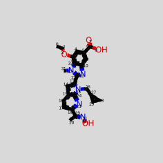 CCOc1cc(C(=O)O)cc2nc(-c3cc4ccc(C(C)=NO)nc4n3CC3CC3)n(C)c12